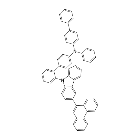 c1ccc(-c2ccc(N(c3ccccc3)c3ccc(-c4ccccc4-n4c5ccccc5c5cc(-c6cc7ccccc7c7ccccc67)ccc54)cc3)cc2)cc1